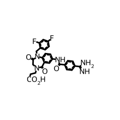 N=C(N)c1ccc(C(=O)Nc2ccc3c(c2)C(=O)N(CCC(=O)O)CC(=O)N3Cc2ccc(F)cc2F)cc1